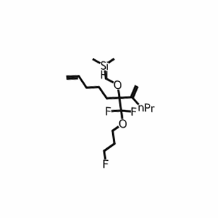 C=CCCCC(OC[SiH](C)C)(C(=C)CCC)C(F)(F)OCCCF